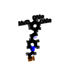 COc1cc(/C=C/c2cc[n+](CCS)cc2)cc(OC)c1OC